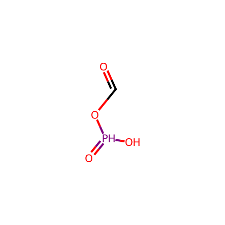 O=CO[PH](=O)O